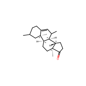 CC1CCC2=CC(C)[C@@H]3[C@@H](CC[C@]4(C)C(=O)CC[C@@H]34)[C@@]2(C)C1